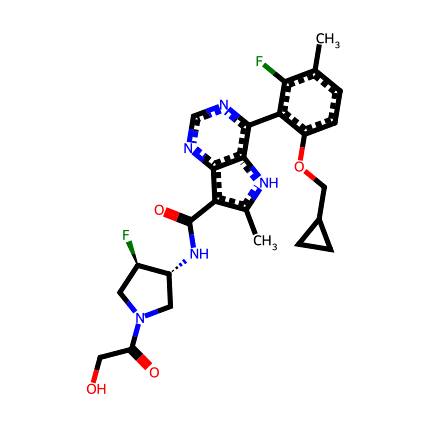 Cc1ccc(OCC2CC2)c(-c2ncnc3c(C(=O)N[C@@H]4CN(C(=O)CO)C[C@H]4F)c(C)[nH]c23)c1F